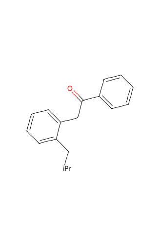 CC(C)Cc1ccccc1CC(=O)c1ccccc1